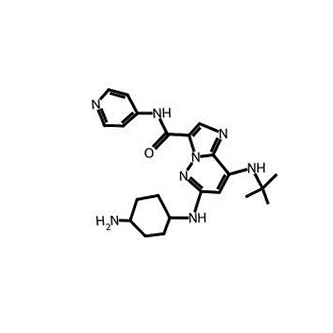 CC(C)(C)Nc1cc(NC2CCC(N)CC2)nn2c(C(=O)Nc3ccncc3)cnc12